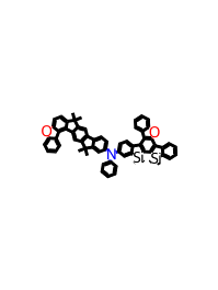 CC1(C)c2cc(N(c3ccccc3)c3ccc4c(c3)[Si](C)(C)c3c5c(c6oc7ccccc7c6c3-4)-c3ccccc3[Si]5(C)C)ccc2-c2cc3c(cc21)-c1c(ccc2oc4ccccc4c12)C3(C)C